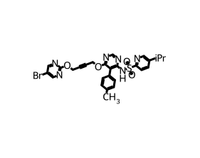 Cc1ccc(-c2c(NS(=O)(=O)c3ccc(C(C)C)cn3)ncnc2OCC#CCOc2ncc(Br)cn2)cc1